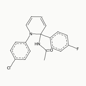 CC(=O)NC1(c2ccc(F)cc2)C=[C]C=CN1c1ccc(Cl)cc1